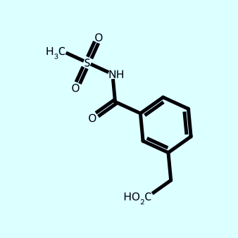 CS(=O)(=O)NC(=O)c1cccc(CC(=O)O)c1